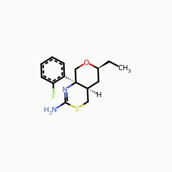 CC[C@H]1C[C@H]2CSC(N)=N[C@@]2(c2ccccc2F)CO1